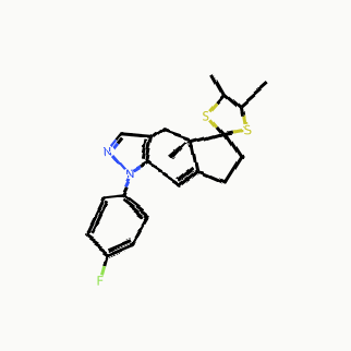 CC1SC2(CCC3=Cc4c(cnn4-c4ccc(F)cc4)C[C@@]32C)SC1C